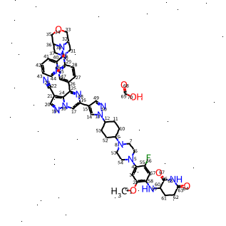 COc1cc(N2CCN(C3CCC(n4cc(-c5cn6ncc(C#N)c6c(-c6ccc(N7CC8COCC(C7)N8Cc7ccccn7)nc6)n5)cn4)CC3)CC2)c(F)cc1NC1CCC(=O)NC1=O.O=CO